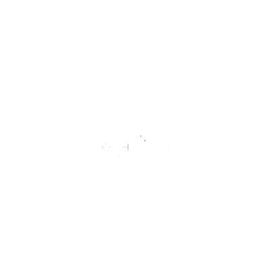 O=C(NCCC(C(=O)O)c1ccccc1)c1ccccc1